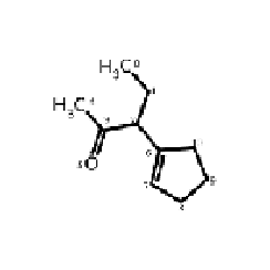 CCC(C(C)=O)C1=CCCC1